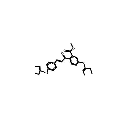 CC=C(CC)Oc1ccc(C=CC(=O)c2ccc(OC(=CC)CC)cc2C(=O)OC)cc1